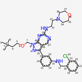 C[Si](C)(C)CCOCn1nc(-c2cccc(NCc3ccccc3Cl)c2)c2cnc(NCCN3CCOCC3)nc21